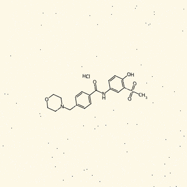 CS(=O)(=O)c1cc(NC(=O)c2ccc(CN3CCOCC3)cc2)ccc1O.Cl